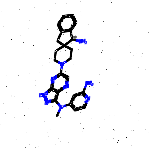 CN(c1ccnc(N)c1)c1n[nH]c2nc(N3CCC4(CC3)Cc3ccccc3[C@H]4N)cnc12